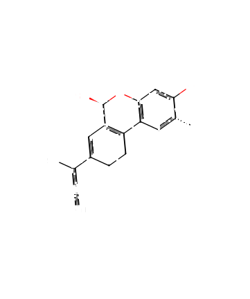 C=C=C(C)C1=CC2=C(CC1)c1cc(C)c(O)cc1O[C@@H]2O